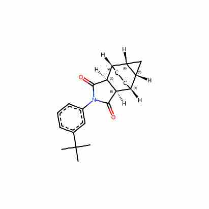 CC(C)(C)c1cccc(N2C(=O)[C@@H]3[C@@H]4CC[C@@H]([C@@H]5C[C@@H]54)[C@@H]3C2=O)c1